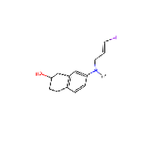 CCCN(CC=CI)c1ccc2c(c1)CC(O)CC2